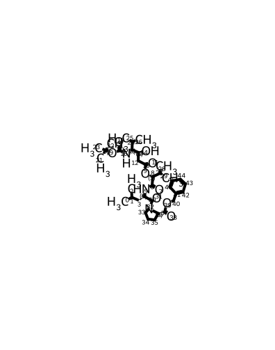 CC(C)C[C@H](NC(=O)[C@@H](OC(=O)C[C@H](O)[C@H](NC(=O)OC(C)(C)C)C(C)C)C(C)C)C(=O)N1CCC[C@H]1C(=O)OCc1ccccc1